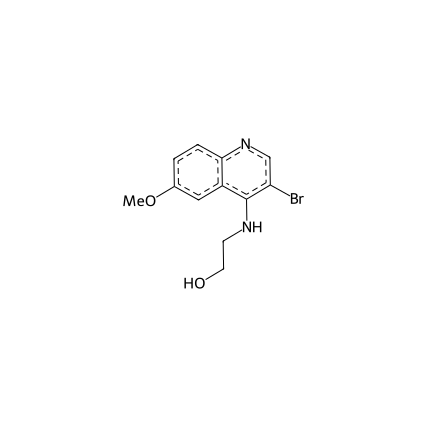 COc1ccc2ncc(Br)c(NCCO)c2c1